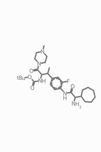 CC(c1ccc(NC(=O)C(N)C2CCCCCC2)c(F)c1)C(NC(=O)OC(C)(C)C)C(=O)N1CCN(C)CC1